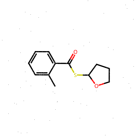 Cc1ccccc1C(=O)SC1CCCO1